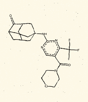 O=C1C2CC3CC1CC(Nc1ncc(C(=O)N4CCOCC4)c(C(F)(F)F)n1)(C3)C2